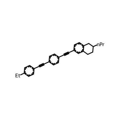 CCCC1CCc2cc(C#Cc3ccc(C#Cc4ccc(CC)cc4)cc3)ccc2C1